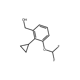 OCc1cccc(OC(F)F)c1C1CC1